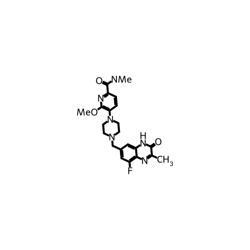 CNC(=O)c1ccc(N2CCN(Cc3cc(F)c4nc(C)c(=O)[nH]c4c3)CC2)c(OC)n1